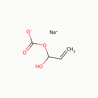 C=CC(O)OC(=O)[O-].[Na+]